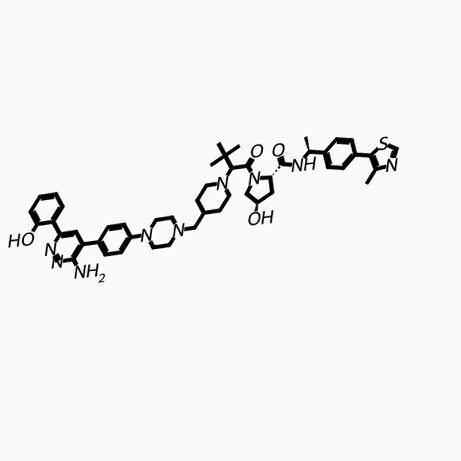 Cc1ncsc1-c1ccc([C@H](C)NC(=O)[C@@H]2C[C@@H](O)CN2C(=O)C(N2CCC(CN3CCN(c4ccc(-c5cc(-c6ccccc6O)nnc5N)cc4)CC3)CC2)C(C)(C)C)cc1